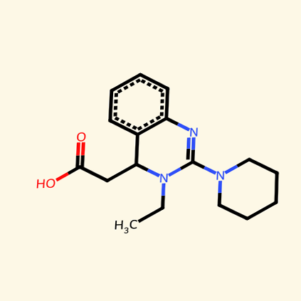 CCN1C(N2CCCCC2)=Nc2ccccc2C1CC(=O)O